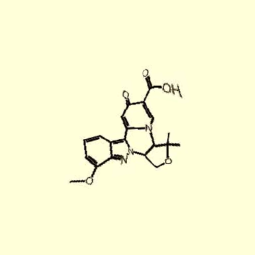 COc1cccc2c3n(nc12)C1COC(C)(C)C1n1cc(C(=O)O)c(=O)cc1-3